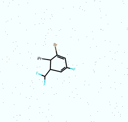 CC(C)C1C(Br)=CC(F)=CC1C(F)F